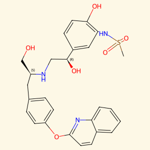 CS(=O)(=O)Nc1cc([C@@H](O)CN[C@H](CO)Cc2ccc(Oc3ccc4ccccc4n3)cc2)ccc1O